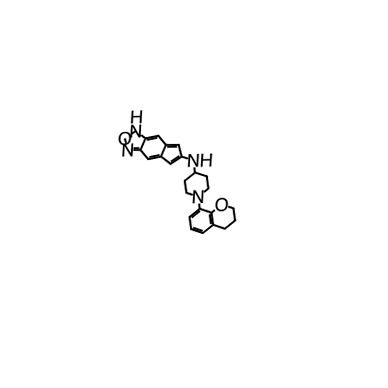 c1cc2c(c(N3CCC(Nc4cc5cc6no[nH]c6cc5c4)CC3)c1)OCCC2